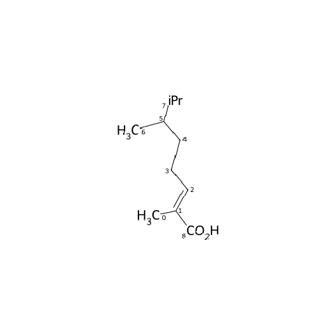 CC(=CCCC(C)C(C)C)C(=O)O